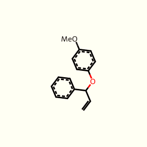 C=CC(Oc1ccc(OC)cc1)c1ccccc1